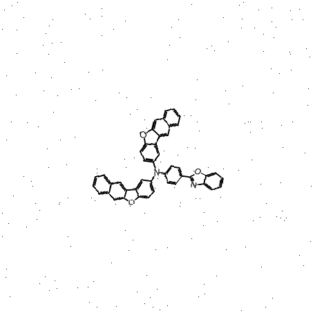 c1ccc2cc3c(cc2c1)oc1ccc(N(c2ccc(-c4nc5ccccc5o4)cc2)c2ccc4oc5cc6ccccc6cc5c4c2)cc13